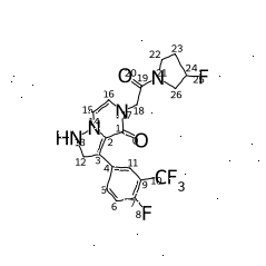 O=C1C2=C(c3ccc(F)c(C(F)(F)F)c3)CNN2C=CN1CC(=O)N1CCC(F)C1